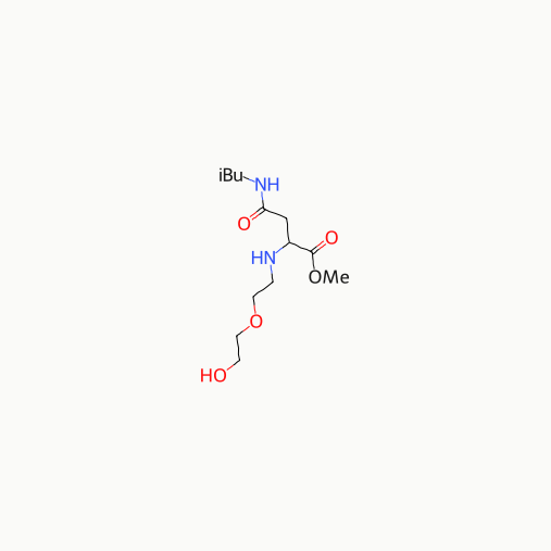 CCC(C)NC(=O)CC(NCCOCCO)C(=O)OC